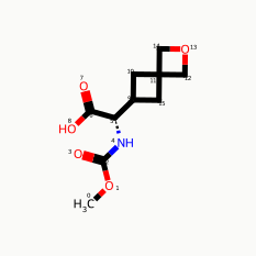 COC(=O)N[C@H](C(=O)O)C1CC2(COC2)C1